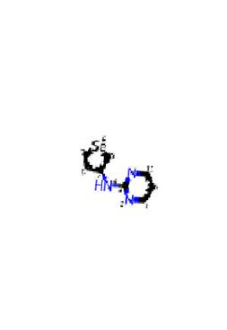 c1cnc(Nc2cc[se]c2)nc1